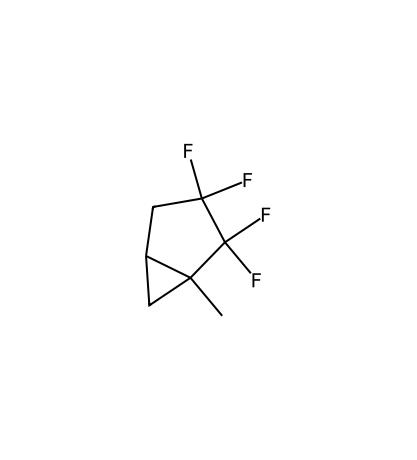 CC12CC1CC(F)(F)C2(F)F